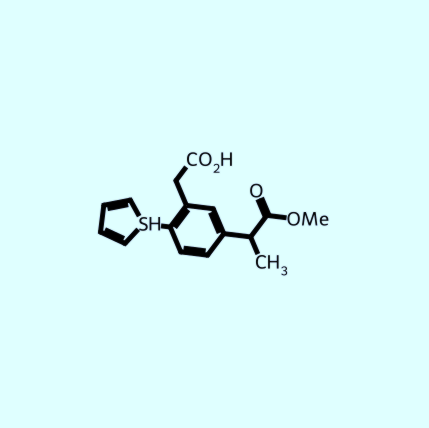 COC(=O)C(C)c1ccc([SH]2C=CC=C2)c(CC(=O)O)c1